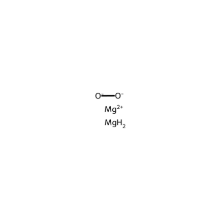 [Mg+2].[MgH2].[O-][O-]